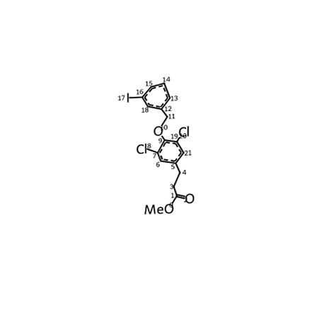 COC(=O)CCc1cc(Cl)c(OCc2cccc(I)c2)c(Cl)c1